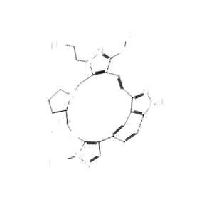 CC(C)Oc1nn(CCO)c2c1/C=C/c1n[nH]c3ccc(cc13)-c1cnn(C)c1O[C@H](C)[C@H]1CCCN1C2